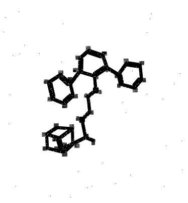 CC(OCCOc1c(-c2ccccc2)cccc1-c1ccccc1)C1=C2C3CC(C1)CC2C3